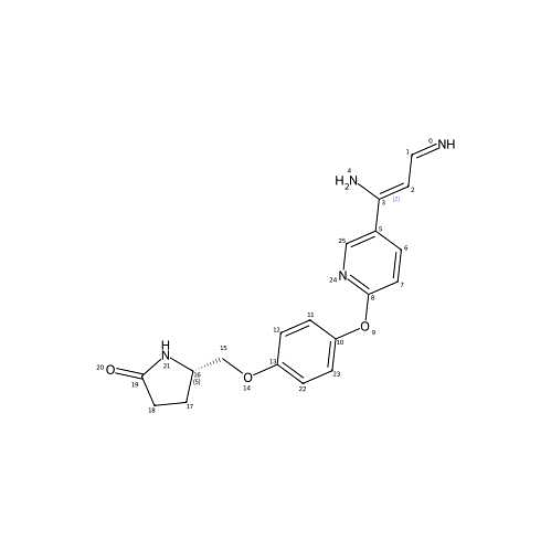 N=C/C=C(\N)c1ccc(Oc2ccc(OC[C@@H]3CCC(=O)N3)cc2)nc1